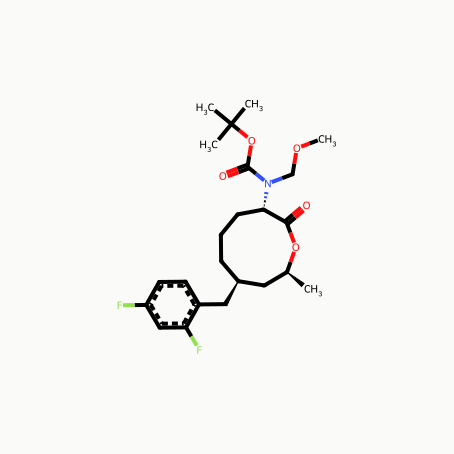 COCN(C(=O)OC(C)(C)C)[C@H]1CCC[C@H](Cc2ccc(F)cc2F)C[C@H](C)OC1=O